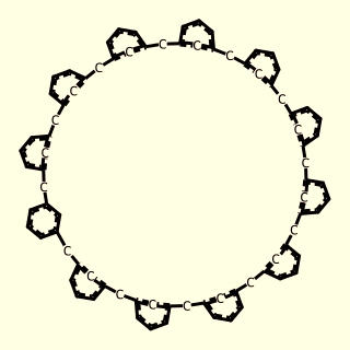 c1cc2cc(c1)Cc1cccc(c1)Cc1cccc(c1)Cc1cccc(c1)Cc1cccc(c1)Cc1cccc(c1)Cc1cccc(c1)Cc1cccc(c1)Cc1cccc(c1)Cc1cccc(c1)Cc1cccc(c1)Cc1cccc(c1)C2